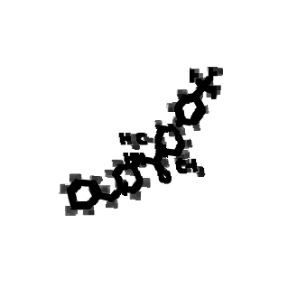 C[C@@H]1CN(c2ccc(C(F)(F)F)cc2)C[C@H](C)N1C(=O)NC1CCN(Cc2ccccc2)CC1